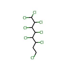 ClCCC(Cl)C(Cl)C(Cl)C(Cl)C(Cl)C(Cl)Cl